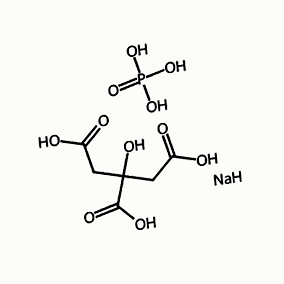 O=C(O)CC(O)(CC(=O)O)C(=O)O.O=P(O)(O)O.[NaH]